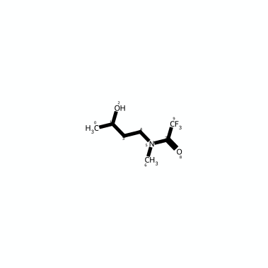 CC(O)CCN(C)C(=O)C(F)(F)F